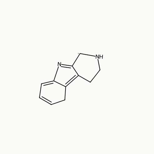 [CH]1NCCC2=C3CC=CC=C3N=C12